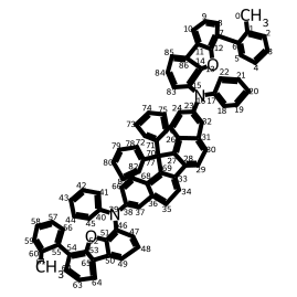 Cc1ccccc1-c1cccc2c1oc1c(N(c3ccccc3)c3ccc4c5c(ccc4c3)-c3ccc4cc(N(c6ccccc6)c6cccc7c6oc6c(-c8ccccc8C)cccc67)ccc4c3C5(c3ccccc3)c3ccccc3)cccc12